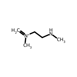 C=[N+](C)CCNC